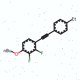 CCCCOc1ccc(C#Cc2ccc(CC)cc2)c(F)c1F